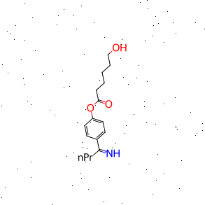 CCCC(=N)c1ccc(OC(=O)CCCCCO)cc1